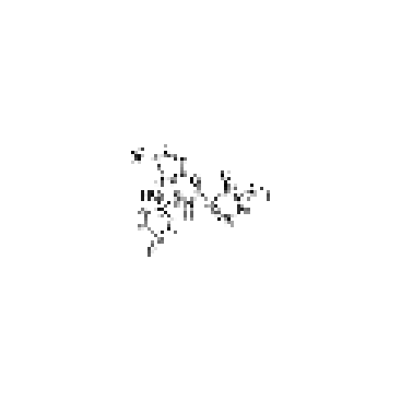 O=C(N[C@H](c1cccc(Br)c1)[C@]1(O)CC[C@@H](F)CC1)c1nccc(C(F)(F)F)c1Cl